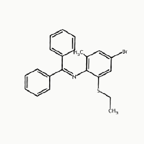 CCSc1cc(Br)cc(C)c1N=C(c1ccccc1)c1ccccc1